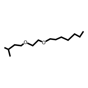 CCCCCCCOCCOCCC(C)C